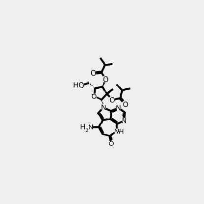 CC(C)C(=O)O[C@@H]1[C@@H](CO)O[C@@H](n2cc3c4c(ncnc42)NC(=O)C=C3N)C1(C)OC(=O)C(C)C